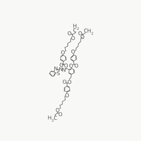 C=CC(=O)OCCCCCCOc1ccc(C(=O)OCCc2ccc(OC(=O)c3ccc(OCCCCCCOC(=O)C=C)cc3)c(/C=N/N(OC(=O)c3ccc(OCCCCCCOC(=O)C=C)cc3)c3nc4ccccc4s3)c2)cc1